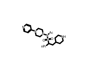 CCCC(CC1CCNCC1)S(=O)(=O)N(C(C)=O)N1CCN(c2ccncc2)CC1